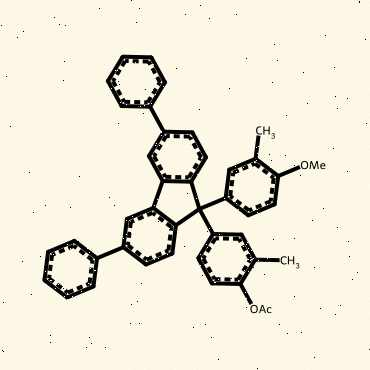 COc1ccc(C2(c3ccc(OC(C)=O)c(C)c3)c3ccc(-c4ccccc4)cc3-c3cc(-c4ccccc4)ccc32)cc1C